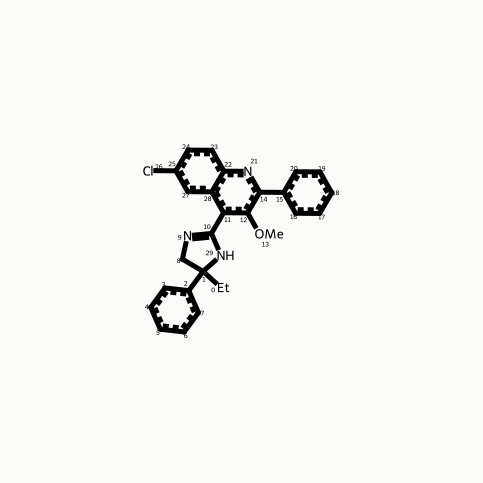 CCC1(c2ccccc2)CN=C(c2c(OC)c(-c3ccccc3)nc3ccc(Cl)cc23)N1